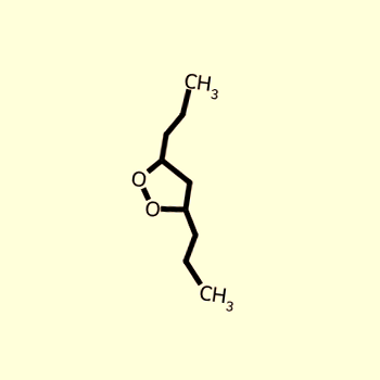 CCCC1CC(CCC)OO1